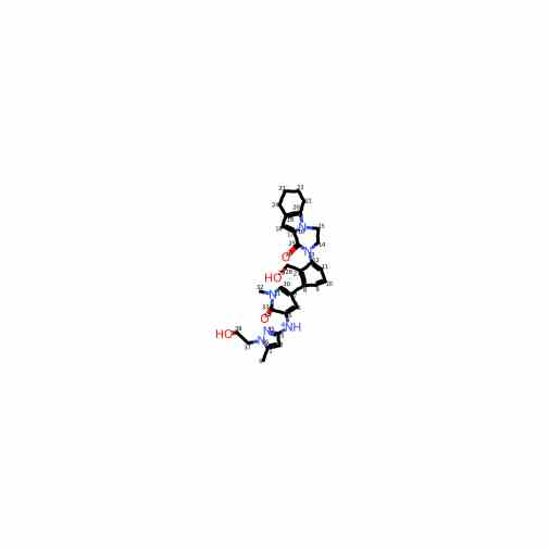 Cc1cc(Nc2cc(-c3cccc(N4CCn5c(cc6c5CCCC6)C4=O)c3CO)cn(C)c2=O)nn1CCO